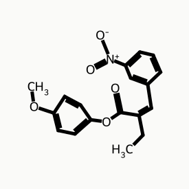 CCC(=Cc1cccc([N+](=O)[O-])c1)C(=O)Oc1ccc(OC)cc1